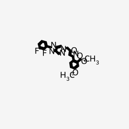 COC(=O)c1cc(OC)ccc1-c1cc(Cn2cc3nc(-c4cccc(F)c4F)nc-3cn2)on1